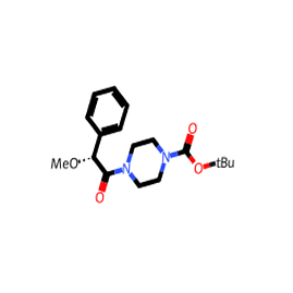 CO[C@@H](C(=O)N1CCN(C(=O)OC(C)(C)C)CC1)c1ccccc1